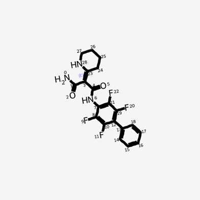 NC(=O)/C(C(=O)Nc1c(F)c(F)c(-c2ccccc2)c(F)c1F)=C1/CCCCN1